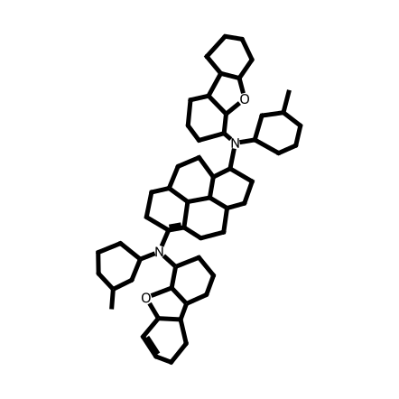 CC1CCCC(N(C2=C3CCC4CCC(N(C5CCCC(C)C5)C5CCCC6C7CCCCC7OC65)C5CCC(CC2)C3C45)C2CCCC3C4CCC=CC4OC32)C1